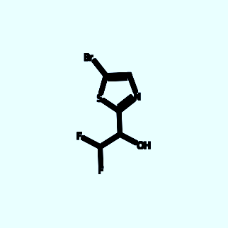 OC(c1ncc(Br)s1)C(F)F